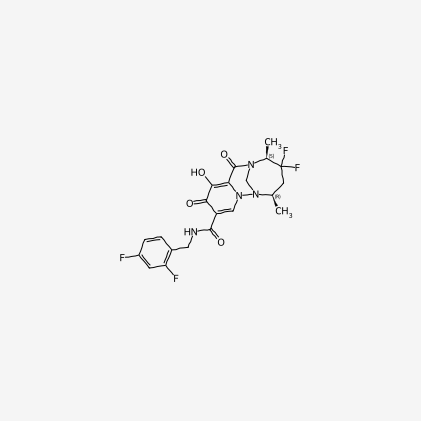 C[C@@H]1CC(F)(F)[C@H](C)N2CN1n1cc(C(=O)NCc3ccc(F)cc3F)c(=O)c(O)c1C2=O